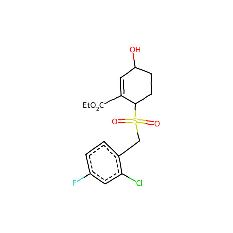 CCOC(=O)C1=CC(O)CCC1S(=O)(=O)Cc1ccc(F)cc1Cl